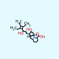 CCC1C(CC)C([C@@H](O)/C=C/[C@@H]2[C@H]3CC4CCCC(C(=O)O)N4[C@@H]3C[C@H]2O)C1CC